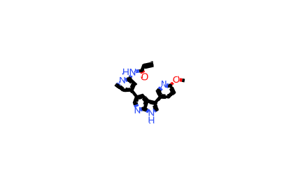 C=CC(=O)Nc1cc(-c2cnc3[nH]cc(-c4ccc(OC)nc4)c3c2)ccn1